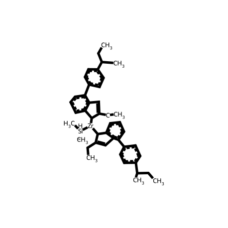 CCC1=Cc2c(-c3ccc(C(C)CC)cc3)cccc2[CH]1[Zr]([CH]1C(CC)=Cc2c(-c3ccc(C(C)CC)cc3)cccc21)[SiH](C)C